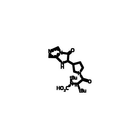 CC(C)(C)[C@H](C(=O)N1CCC(C2Nc3cncn3C2=O)C1)N(C(=O)O)C(C)(C)C